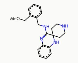 COCc1ccccc1CNC1=Nc2ccccc2NC12CCNCC2